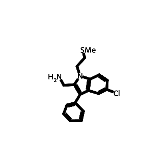 CSCCn1c(CN)c(-c2ccccc2)c2cc(Cl)ccc21